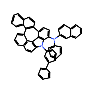 c1ccc(-c2cccc(-n3c4ccc5cccc6c5c4c4c(ccc(N(c5ccccc5)c5ccc7ccccc7c5)c43)-c3ccc4ccccc4c3-6)c2)cc1